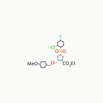 CCOC(=O)[C@@H]1C[C@@H](S(=O)(=O)c2ccc(F)cc2Cl)C[C@H]1COCc1ccc(OC)cc1